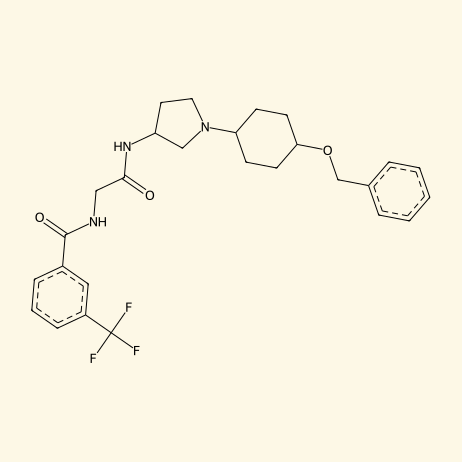 O=C(CNC(=O)c1cccc(C(F)(F)F)c1)NC1CCN(C2CCC(OCc3ccccc3)CC2)C1